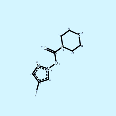 O=C(On1cc(I)cn1)N1CCSCC1